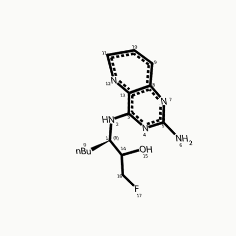 CCCC[C@@H](Nc1nc(N)nc2cccnc12)C(O)CF